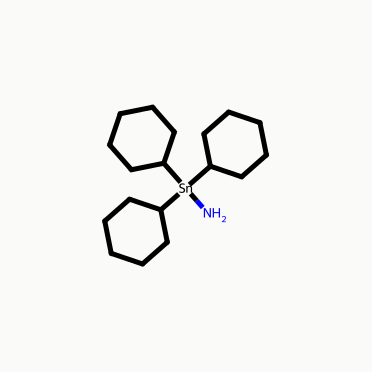 [NH2][Sn]([CH]1CCCCC1)([CH]1CCCCC1)[CH]1CCCCC1